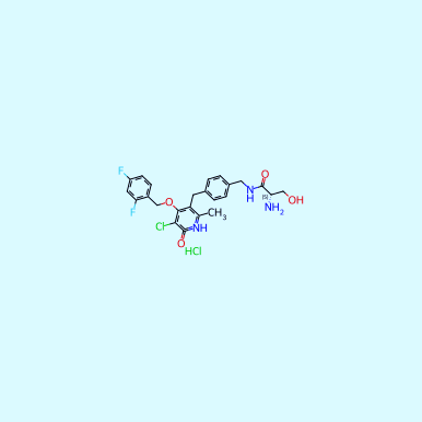 Cc1[nH]c(=O)c(Cl)c(OCc2ccc(F)cc2F)c1Cc1ccc(CNC(=O)[C@@H](N)CO)cc1.Cl